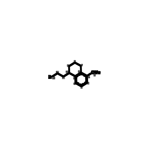 COc1cccc2c1CCCC2CCBr